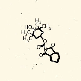 CC1(C)CC(OC(=O)N2C(=O)c3ccccc3C2=O)CC(C)(C)N1O